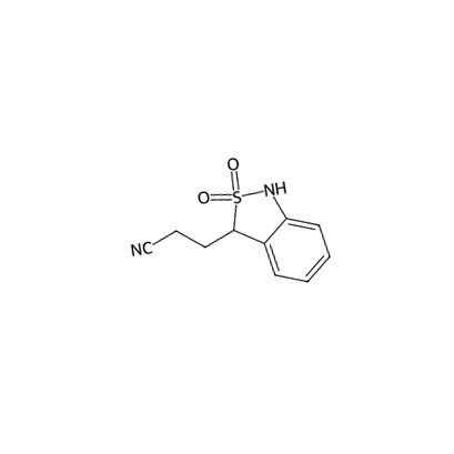 N#CCCC1c2ccccc2NS1(=O)=O